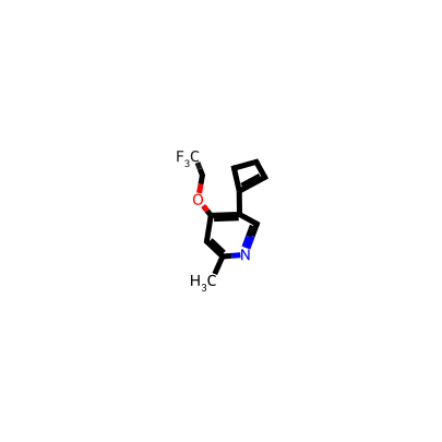 Cc1cc(OCC(F)(F)F)c(C2=CCC2)cn1